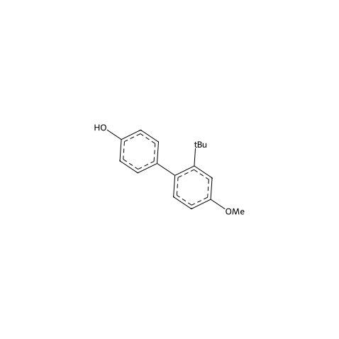 COc1ccc(-c2ccc(O)cc2)c(C(C)(C)C)c1